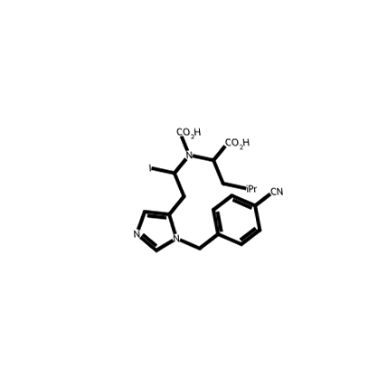 CC(C)CC(C(=O)O)N(C(=O)O)C(I)Cc1cncn1Cc1ccc(C#N)cc1